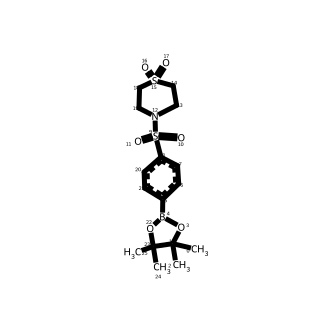 CC1(C)OB(c2ccc(S(=O)(=O)N3CCS(=O)(=O)CC3)cc2)OC1(C)C